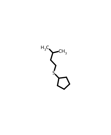 CC(C)CCSC1CCCC1